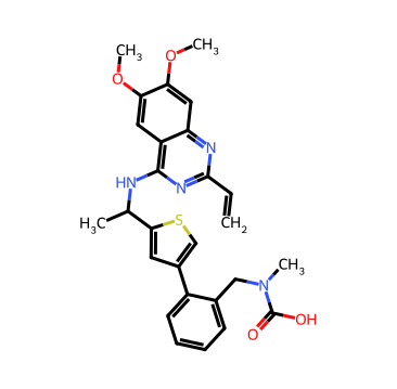 C=Cc1nc(NC(C)c2cc(-c3ccccc3CN(C)C(=O)O)cs2)c2cc(OC)c(OC)cc2n1